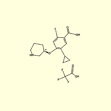 O=C(O)C(F)(F)F.O=C(O)c1cc(C2CC2)c(O[C@@H]2CCCNC2)cc1F